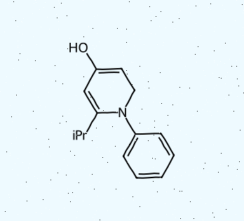 CC(C)C1=CC(O)=CCN1c1ccccc1